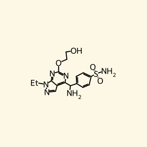 CCn1ncc2c(C(N)c3ccc(S(N)(=O)=O)cc3)nc(OCCO)nc21